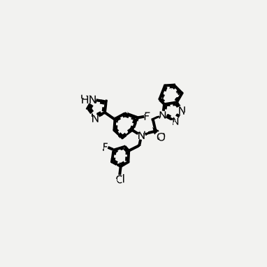 O=C(Cn1nnc2ccccc21)N(Cc1cc(F)cc(Cl)c1)c1ccc(-c2c[nH]cn2)cc1F